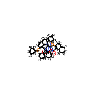 O=C(NC1(NC(=O)c2c(P(c3ccccc3)c3ccccc3)ccc3ccccc23)CCCCC1)c1c(P(c2ccccc2)c2ccccc2)ccc2ccccc12